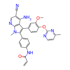 C=CC(=O)Nc1ccc(-c2c(-c3ccc(Oc4nccc(C)n4)c(OC)c3)c3c(N)c(C#N)cnc3n2C)cc1